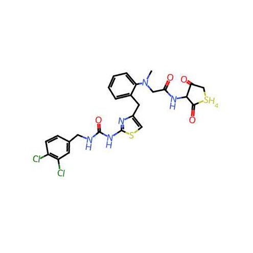 CN(CC(=O)NC1C(=O)C[SH4]C1=O)c1ccccc1Cc1csc(NC(=O)NCc2ccc(Cl)c(Cl)c2)n1